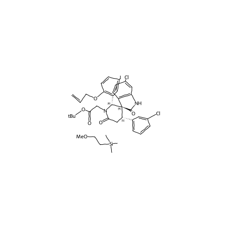 C=CCOc1ccc(I)cc1[C@H]1N(CC(=O)OC(C)(C)C)C(=O)C[C@@H](c2cccc(Cl)c2)[C@]12C(=O)Nc1cc(Cl)ccc12.COCC[Si](C)(C)C